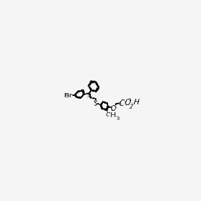 Cc1cc(SC/C=C(\c2ccccc2)c2ccc(Br)cc2)ccc1OCC(=O)O